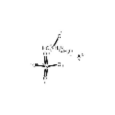 N.O.O=S(=O)([O-])O.O=S(=O)([O-])[O-].[Al+3]